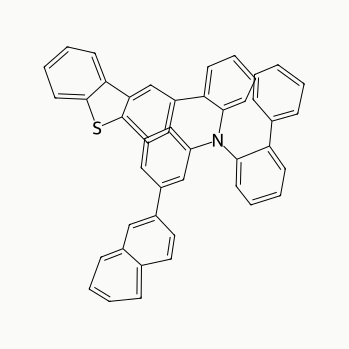 c1ccc(-c2ccccc2N(c2cccc(-c3ccc4ccccc4c3)c2)c2ccccc2-c2ccc3sc4ccccc4c3c2)cc1